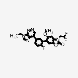 CCn1cnc2c(-c3ccc(F)c(-c4cc5oc(=O)n(CC(F)F)c5cc4OC)c3)cnnc21